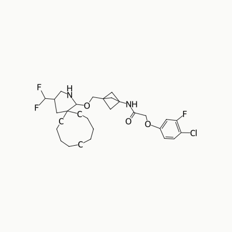 O=C(COc1ccc(Cl)c(F)c1)NC12CC(COC3NCC(C(F)F)CC34CCCCCCCCC4)(C1)C2